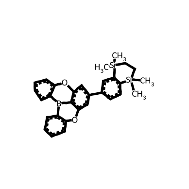 C[Si]1(C)CC[Si](C)(C)c2cc(-c3cc4c5c(c3)Oc3ccccc3B5c3ccccc3O4)ccc21